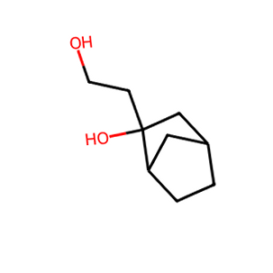 OCCC1(O)CC2CCC1C2